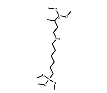 CO[SiH](OC)C(C)CCNCCCCCC[Si](OC)(OC)OC